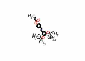 CCCC(=O)Oc1ccc(/C=C/c2cc(O[Si](CC)(CC)CC)cc(O[Si](CC)(CC)CC)c2)cc1